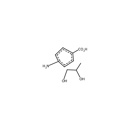 CC(O)CO.Nc1ccc(C(=O)O)cc1